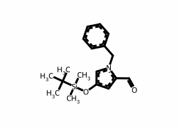 CC(C)(C)[Si](C)(C)Oc1cc(C=O)n(Cc2ccccc2)c1